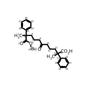 CCC(C)OC(=O)C(C)(CCCC(=O)CCCC(C)(C(=O)O)c1ccccc1)c1ccccc1